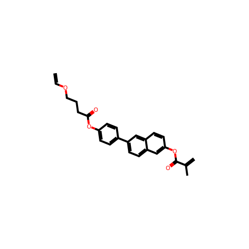 C=COCCCC(=O)Oc1ccc(-c2ccc3cc(OC(=O)C(=C)C)ccc3c2)cc1